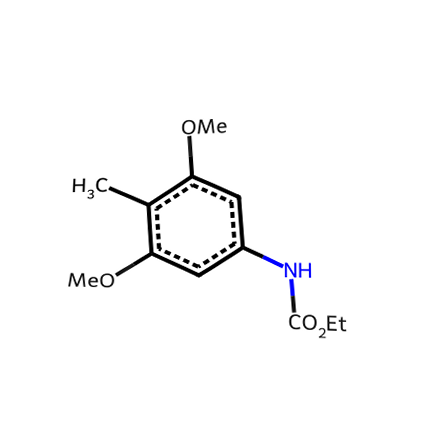 CCOC(=O)Nc1cc(OC)c(C)c(OC)c1